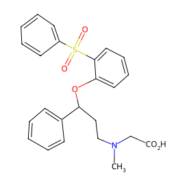 CN(CCC(Oc1ccccc1S(=O)(=O)c1ccccc1)c1ccccc1)CC(=O)O